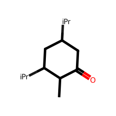 CC(C)C1CC(=O)C(C)C(C(C)C)C1